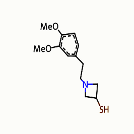 COc1ccc(CCN2CC(S)C2)cc1OC